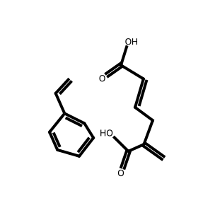 C=C(CC=CC(=O)O)C(=O)O.C=Cc1ccccc1